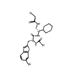 CCC(=O)N[C@@H](Cc1nc2ccc(C(C)C)cc2s1)C(=O)N[C@H](CNC(=O)CCl)C1CCCCC1